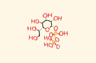 O=P(O)(O)OP(=O)(O)O[C@@H]1O[C@H](C(O)CO)[C@@H](O)[C@H](O)[C@@H]1O